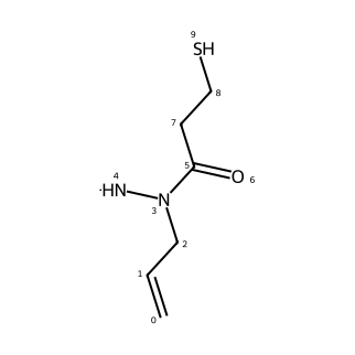 C=CCN([NH])C(=O)CCS